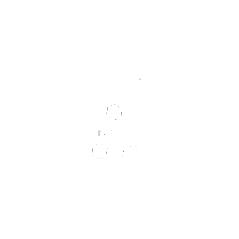 NC(=O)Oc1ccccc1NC(=O)c1ccc(CCCO)cc1